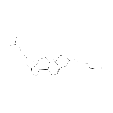 CC(C)CCC[C@@H](C)C1CCC2C3CC=C4CC(OCCCN)CCC4(C)C3CCC21C